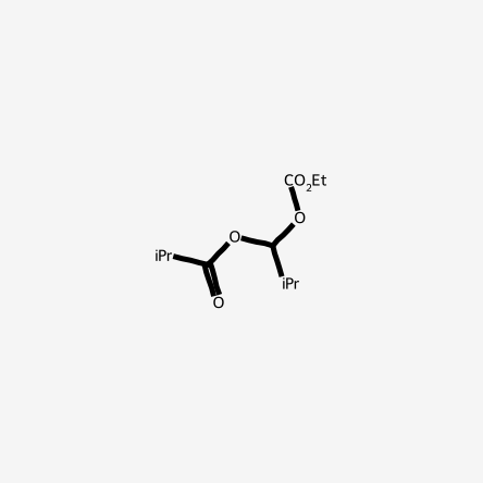 CCOC(=O)OC(OC(=O)C(C)C)C(C)C